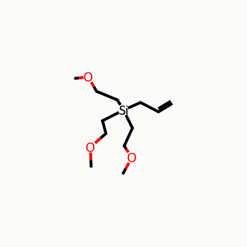 C=CC[Si](CCOC)(CCOC)CCOC